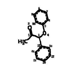 CC(=O)C(Oc1cc[c]cc1)c1ccccc1